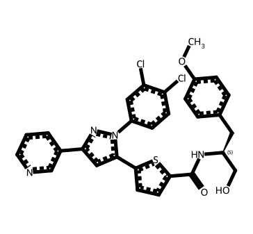 COc1ccc(C[C@@H](CO)NC(=O)c2ccc(-c3cc(-c4cccnc4)nn3-c3ccc(Cl)c(Cl)c3)s2)cc1